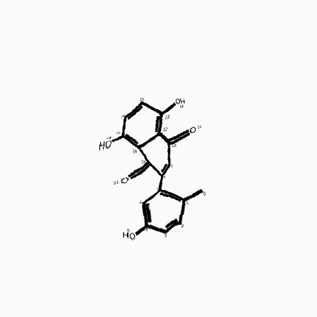 Cc1ccc(O)cc1C1=CC(=O)c2c(O)ccc(O)c2C1=O